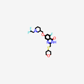 O=c1[nH]c(CSC2CCOCC2)nc2cc(OCC3CCCN(CC(F)F)C3)cc(F)c12